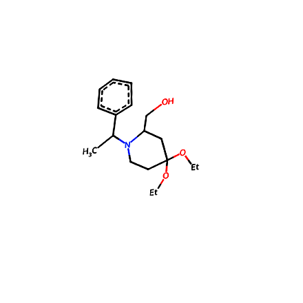 CCOC1(OCC)CCN(C(C)c2ccccc2)C(CO)C1